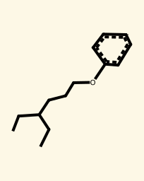 CCC(CC)CCCOc1cc[c]cc1